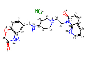 Cl.O=C1COc2ccc(CNC3CCN(CCn4c(=O)ccc5cccnc54)CC3)cc2N1